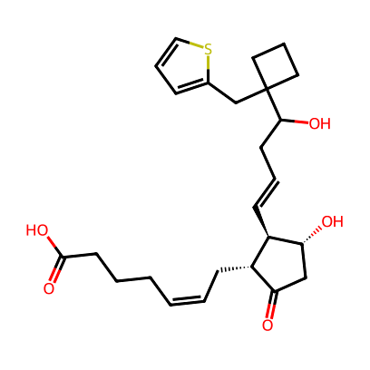 O=C(O)CCC/C=C\C[C@H]1C(=O)C[C@@H](O)[C@@H]1/C=C/CC(O)C1(Cc2cccs2)CCC1